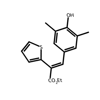 CCOC(=O)C(=Cc1cc(C)c(O)c(C)c1)c1cccs1